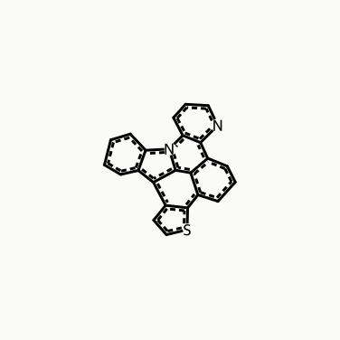 c1cc2c3ncccc3n3c4ccccc4c4c5ccsc5c(c1)c2c43